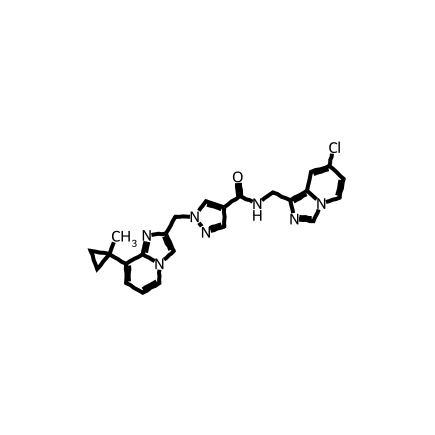 CC1(c2cccn3cc(Cn4cc(C(=O)NCc5ncn6ccc(Cl)cc56)cn4)nc23)CC1